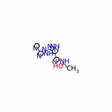 CCCC(O)Nc1cncc(-c2cnc3[nH]nc(-c4nc5c(-c6ccccn6)cncc5[nH]4)c3c2)c1